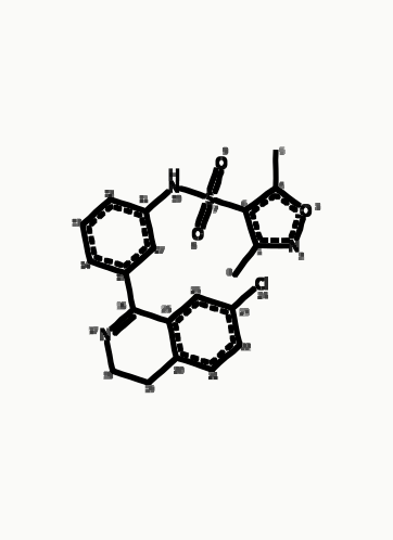 Cc1noc(C)c1S(=O)(=O)Nc1cccc(C2=NCCc3ccc(Cl)cc32)c1